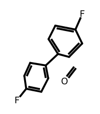 C=O.Fc1ccc(-c2ccc(F)cc2)cc1